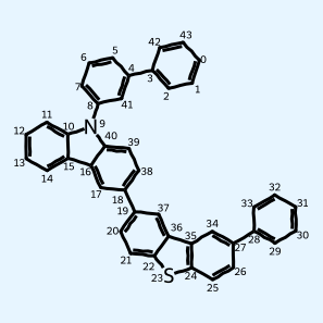 c1ccc(-c2cccc(-n3c4ccccc4c4cc(-c5ccc6sc7ccc(-c8ccccc8)cc7c6c5)ccc43)c2)cc1